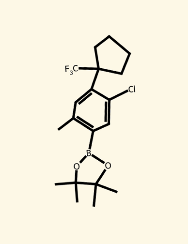 Cc1cc(C2(C(F)(F)F)CCCC2)c(Cl)cc1B1OC(C)(C)C(C)(C)O1